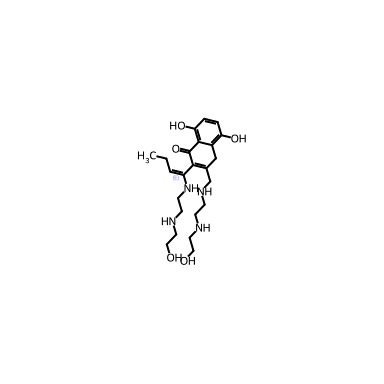 CC/C=C(/NCCNCCO)C1=C(CNCCNCCO)Cc2c(O)ccc(O)c2C1=O